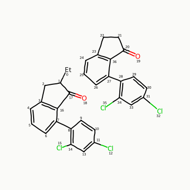 CCC1Cc2cccc(-c3ccc(Cl)cc3Cl)c2C1=O.O=C1CCc2cccc(-c3ccc(Cl)cc3Cl)c21